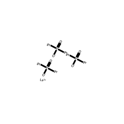 CC(C)P(=O)([O-])C(C)C.CC(C)P(=O)([O-])C(C)C.CC(C)P(=O)([O-])C(C)C.[La+3]